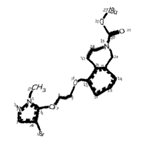 Cn1ncc(Br)c1OCCOc1cccc2c1CCN(C(=O)OC(C)(C)C)C2